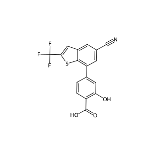 N#Cc1cc(-c2ccc(C(=O)O)c(O)c2)c2sc(C(F)(F)F)cc2c1